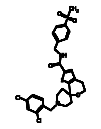 CS(=O)(=O)c1ccc(CNC(=O)c2cc3c(s2)C2(CCN(Cc4ccc(Cl)cc4Cl)CC2)OCC3)cc1